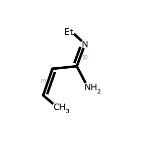 C/C=C\C(N)=N/CC